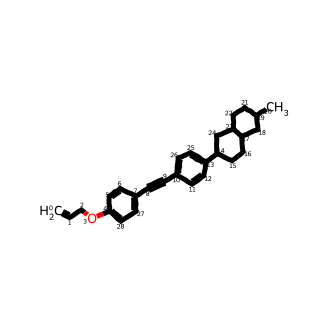 C=CCOc1ccc(C#Cc2ccc(C3CCC4CC(C)CCC4C3)cc2)cc1